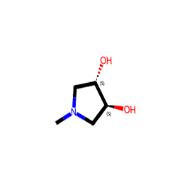 CN1C[C@H](O)[C@@H](O)C1